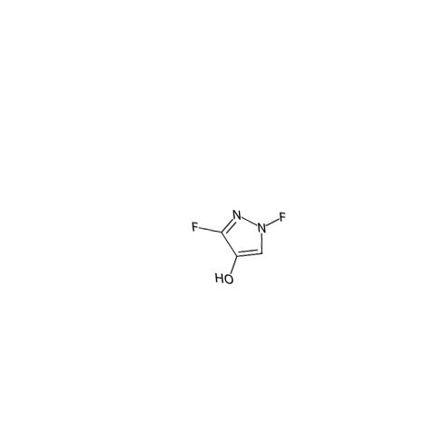 Oc1cn(F)nc1F